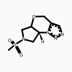 CS(=O)(=O)N1CC2OCc3cnnn3[C@@H]2C1